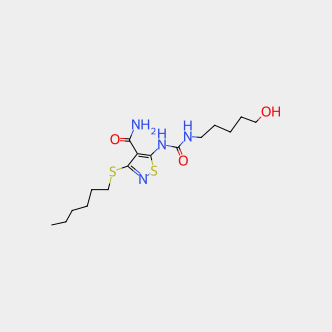 CCCCCCSc1nsc(NC(=O)NCCCCCO)c1C(N)=O